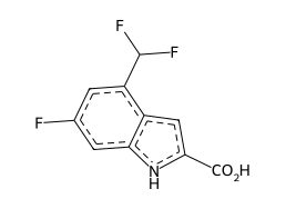 O=C(O)c1cc2c(C(F)F)cc(F)cc2[nH]1